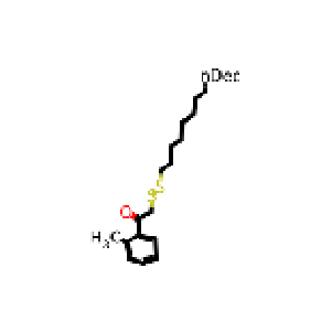 CCCCCCCCCCCCCCCCCCSSCC(=O)c1ccccc1C